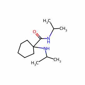 CC(C)NC(=O)C1(NC(C)C)CCCCC1